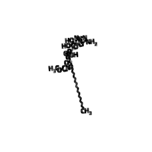 CCCCCCCCCCCCCCCCCCOC[C@H](COP(=O)(O)OC[C@H]1O[C@@](C#N)(c2ccc3c(N)ncnn23)[C@H](O)[C@@H]1O)Oc1cc(OC)ccn1